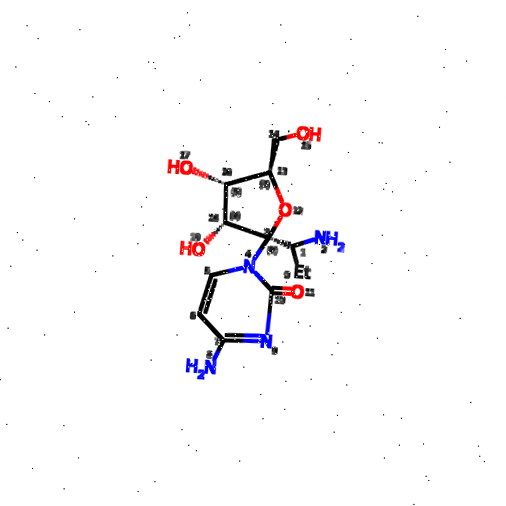 CCC(N)[C@@]1(n2ccc(N)nc2=O)O[C@H](CO)[C@@H](O)[C@H]1O